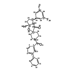 O=C(c1cccc(-c2ccccc2)n1)N1CCC2(CC1)O[C@@H]1CC[C@@H](c3cc(F)cc(F)c3)N1C2=O